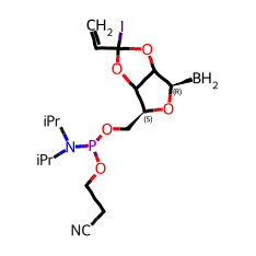 B[C@H]1O[C@@H](COP(OCCC#N)N(C(C)C)C(C)C)C2OC(I)(C=C)OC21